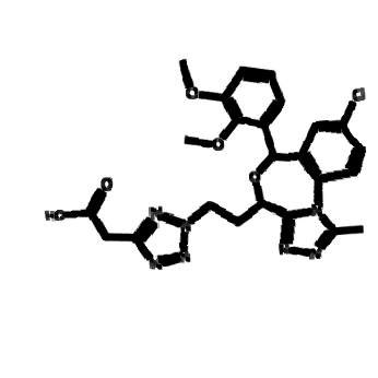 COc1cccc(C2OC(CCn3nnc(CC(=O)O)n3)c3nnc(C)n3-c3ccc(Cl)cc32)c1OC